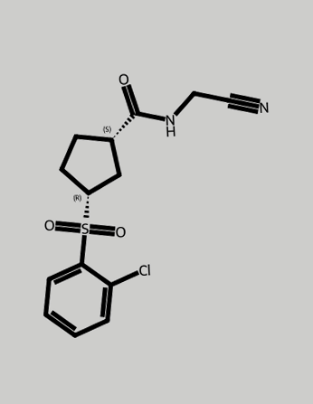 N#CCNC(=O)[C@H]1CC[C@@H](S(=O)(=O)c2ccccc2Cl)C1